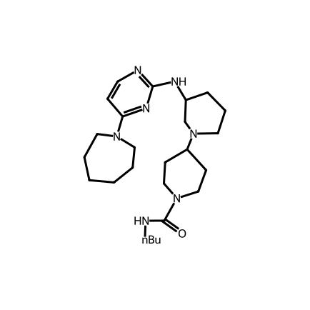 CCCCNC(=O)N1CCC(N2CCCC(Nc3nccc(N4CCCCCC4)n3)C2)CC1